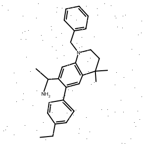 CCc1ccc(-c2cc3c(cc2C(C)N)N(Cc2ccccc2)CCC3(C)C)cc1